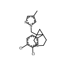 Cc1cnn(CC23CNCCC2(c2ccc(Cl)c(Cl)c2)C3)c1